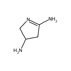 NC1=NCC(N)C1